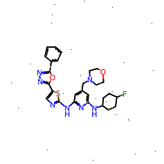 FC1CCC(Nc2cc(CN3CCOCC3)cc(Nc3ncc(-c4nnc(-c5ccccc5)o4)s3)n2)CC1